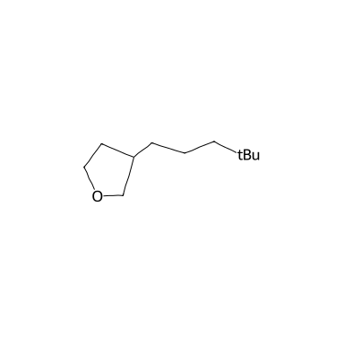 CC(C)(C)CCCC1CCOC1